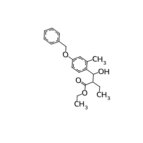 CCOC(=O)C(CC)C(O)c1ccc(OCc2ccccc2)cc1C